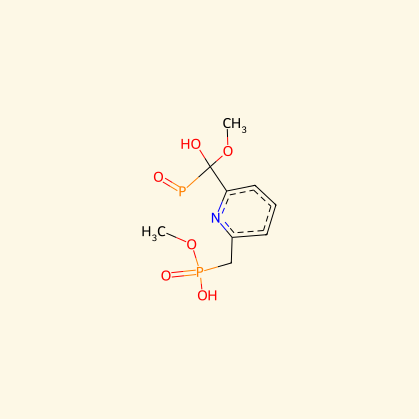 COC(O)(P=O)c1cccc(CP(=O)(O)OC)n1